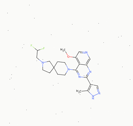 COc1cncc2nc(-c3cn[nH]c3C)nc(N3CCC4(CCN(CC(F)F)C4)CC3)c12